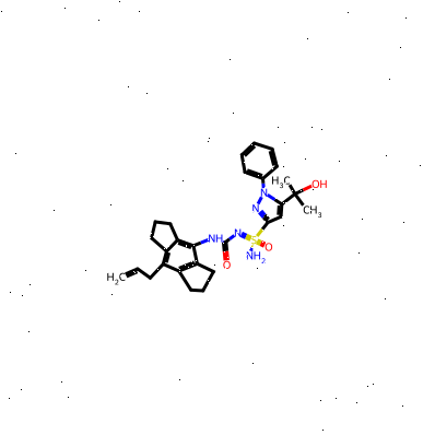 C=CCc1c2c(c(NC(=O)N=[S@@](N)(=O)c3cc(C(C)(C)O)n(-c4ccccc4)n3)c3c1CCC3)CCC2